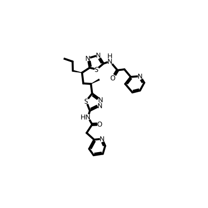 CCC[C@H](C[C@@H](C)c1nnc(NC(=O)Cc2ccccn2)s1)c1nnc(NC(=O)Cc2ccccn2)s1